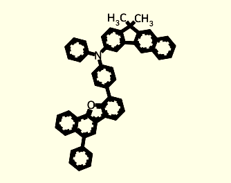 CC1(C)c2ccc(N(c3ccccc3)c3ccc(-c4cccc5c4oc4c6ccccc6c(-c6ccccc6)cc54)cc3)cc2-c2cc3ccccc3cc21